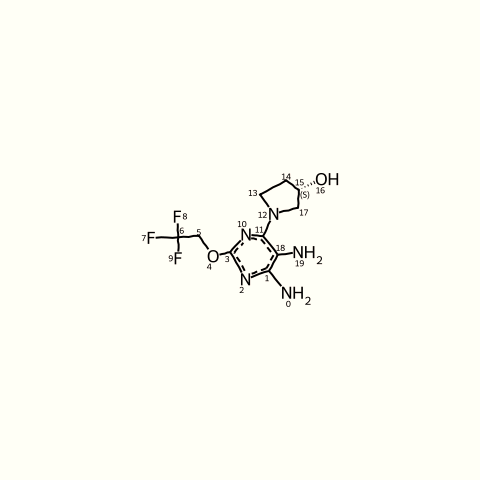 Nc1nc(OCC(F)(F)F)nc(N2CC[C@H](O)C2)c1N